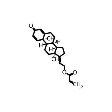 C=CC(=O)OCC=C1CC[C@H]2[C@@H]3CCC4=CC(=O)C=C[C@]4(C)[C@H]3CC[C@]12C